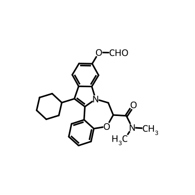 CN(C)C(=O)C1Cn2c(c(C3CCCCC3)c3ccc(OC=O)cc32)-c2ccccc2O1